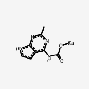 Cc1nc(NC(=O)OC(C)(C)C)c2cc[nH]c2n1